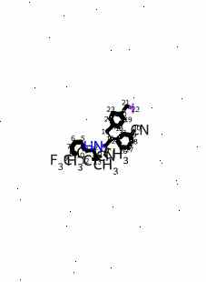 C[C@H](NC(c1cccc(C(F)(F)F)c1)C(C)(C)C#N)[C@@H](Cc1ccc(CI)cc1)c1cccc(C#N)c1